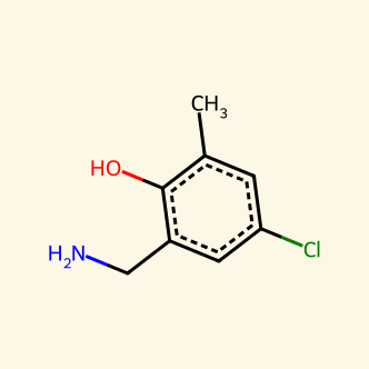 Cc1cc(Cl)cc(CN)c1O